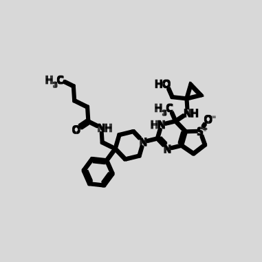 CCCCC(=O)NCC1(c2ccccc2)CCN(C2=NC3=C([S+]([O-])CC3)C(C)(NC3(CO)CC3)N2)CC1